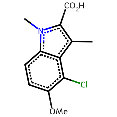 COc1ccc2c(c(C)c(C(=O)O)n2C)c1Cl